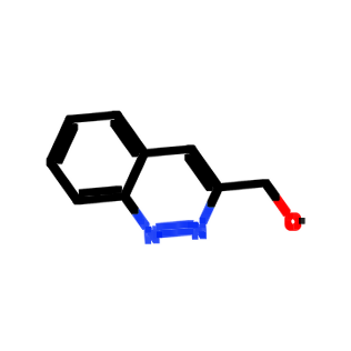 [O]Cc1cc2ccccc2nn1